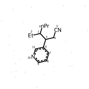 CCCC(CC)C(CC#N)c1cccnc1